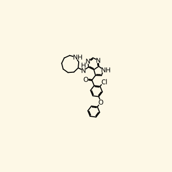 O=C(c1ccc(Oc2ccccc2)cc1Cl)c1c[nH]c2ncnc(NC3CCCCCCNC3)c12